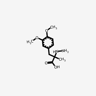 COc1ccc(CC(C)(NN)C(=O)O)cc1OC